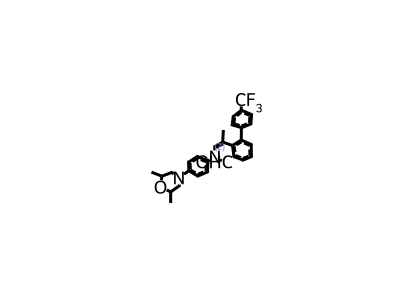 C/C(=C/N(C)c1ccc(N2CC(C)OC(C)C2)cc1)c1c(C=O)cccc1-c1ccc(C(F)(F)F)cc1